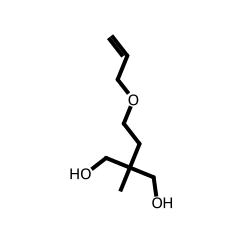 C=CCOCCC(C)(CO)CO